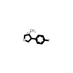 C[C@H]1COCC1c1ccc(F)cc1